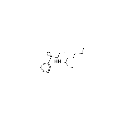 CCCCCC(CC)NC(CC)C(=O)c1ccccc1